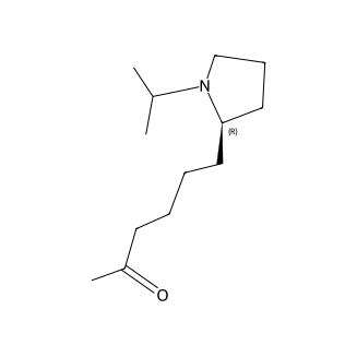 CC(=O)CCCC[C@@H]1CCCN1C(C)C